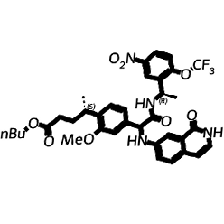 CCCCOC(=O)CC[C@H](C)c1ccc(C(Nc2ccc3cc[nH]c(=O)c3c2)C(=O)N[C@H](C)c2cc([N+](=O)[O-])ccc2OC(F)(F)F)cc1OC